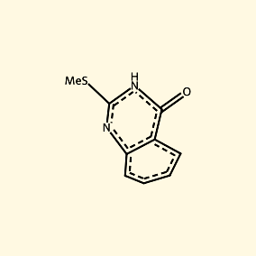 [CH2]Sc1nc2ccccc2c(=O)[nH]1